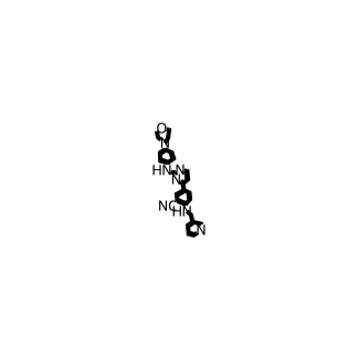 N#Cc1cc(-c2ccnc(Nc3ccc(N4CCOCC4)cc3)n2)ccc1NCc1cccnc1